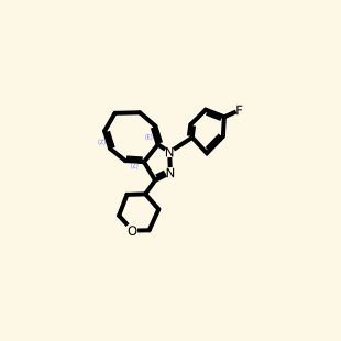 Fc1ccc(-n2nc(C3CCOCC3)c3/c2=C\CC/C=C\C=3)cc1